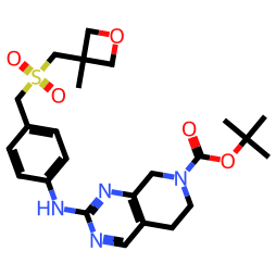 CC1(CS(=O)(=O)Cc2ccc(Nc3ncc4c(n3)CN(C(=O)OC(C)(C)C)CC4)cc2)COC1